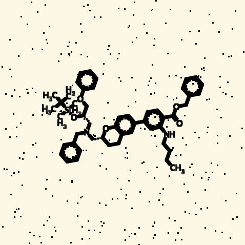 CCCCNc1cc(-c2ccc3c(c2)CC[C@H](CN(Cc2ccccc2)C[C@@H](COc2ccccc2)O[Si](C)(C)C(C)(C)C)O3)ccc1C(=O)OCc1ccccc1